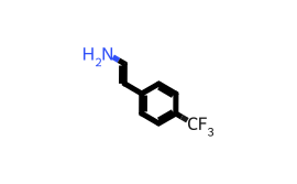 NC=Cc1ccc(C(F)(F)F)cc1